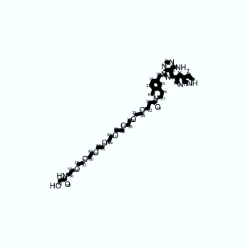 Nc1ncnc2c1c(-c1cnc3[nH]ccc3c1)nn2Cc1ccc2c(c1)CCN(C(=O)CCOCCOCCOCCOCCOCCOCCOCCOCCNC(=O)CO)C2